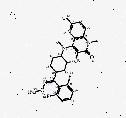 CN(c1c(C#N)c(=O)n(C)c2ccc(Cl)nc12)C1CCC(/C(=N/OC(C)(C)C)c2c(F)cccc2F)CC1